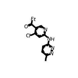 CCC(=O)c1cnc(Nc2ccc(C)nn2)cc1Cl